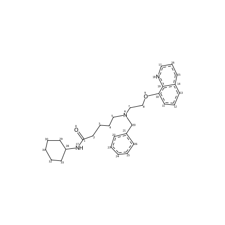 O=C(CCCCN(CCOc1cccc2cccnc12)Cc1ccccc1)NC1CCCCC1